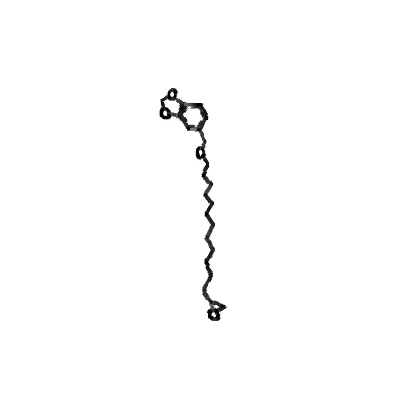 c1cc2c(cc1COCCCCCCCCCCCCC1CO1)OCO2